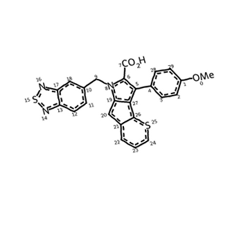 COc1ccc(-c2c(C(=O)O)n(Cc3ccc4nsnc4c3)c3cc4cccsc-4c23)cc1